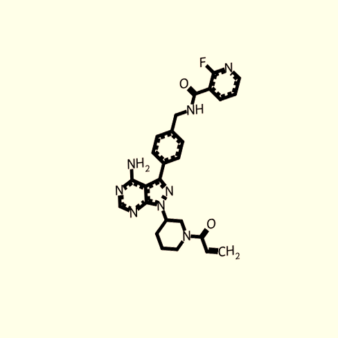 C=CC(=O)N1CCCC(n2nc(-c3ccc(CNC(=O)c4cccnc4F)cc3)c3c(N)ncnc32)C1